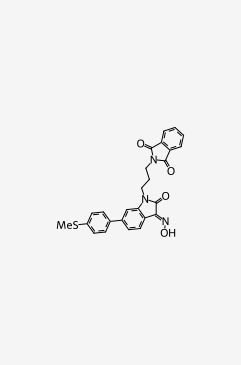 CSc1ccc(-c2ccc3c(c2)N(CCCN2C(=O)c4ccccc4C2=O)C(=O)/C3=N/O)cc1